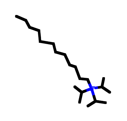 CCCCCCCCCCCC[N+](C(C)C)(C(C)C)C(C)C